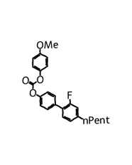 CCCCCc1ccc(-c2ccc(OC(=O)Oc3ccc(OC)cc3)cc2)c(F)c1